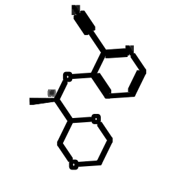 C[C@@H](Oc1cccnc1C#N)C1COCCO1